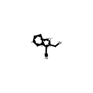 N#Cc1c(CBr)oc2ccccc12